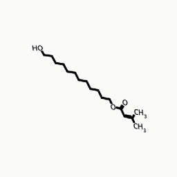 CC(C)=CC(=O)OCCCCCCCCCCCCO